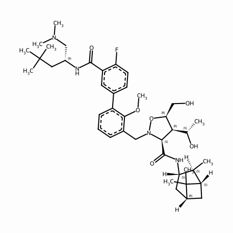 COc1c(CN2O[C@@H](CO)[C@@H]([C@H](C)O)[C@H]2C(=O)N[C@H]2C[C@H]3C[C@@H]([C@@H]2C)C3(C)C)cccc1-c1ccc(F)c(C(=O)N[C@@H](CN(C)C)CC(C)(C)C)c1